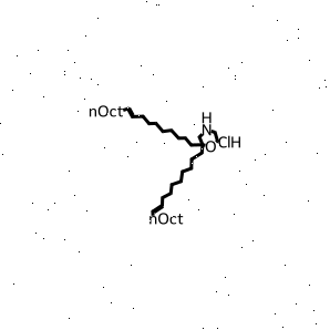 CCCCCCCCC=CCCCCCCCCC1(CCCCCCCCC=CCCCCCCCC)CNCCO1.Cl